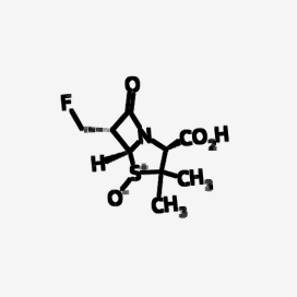 CC1(C)[C@H](C(=O)O)N2C(=O)[C@@H](CF)[C@H]2[S+]1[O-]